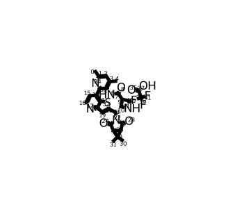 Cc1cc(C)c(NC(=O)C2CNC2)c(-c2ccnc3cc(CN4C(=O)C5C(C4=O)C5(C)C)sc23)n1.O=C(O)C(F)(F)F